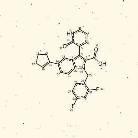 O=C(O)c1c(-c2ccc[nH]c2=O)c2cc(C3=CCCC3)ccc2n1Cc1ccc(F)cc1F